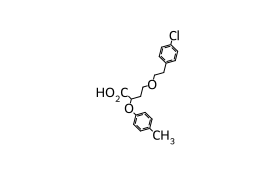 Cc1ccc(OC(CCOCCc2ccc(Cl)cc2)C(=O)O)cc1